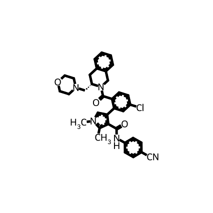 Cc1c(C(=O)Nc2ccc(C#N)cc2)c(-c2cc(Cl)ccc2C(=O)N2Cc3ccccc3C[C@H]2CN2CCOCC2)cn1C